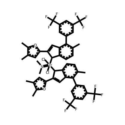 Cc1cc(C2=Cc3c(ccc(C)c3-c3cc(C(F)(F)F)cc(C(F)(F)F)c3)[CH]2[Zr]([Cl])([Cl])([CH]2C(c3cc(C)c(C)o3)=Cc3c2ccc(C)c3-c2cc(C(F)(F)F)cc(C(F)(F)F)c2)=[Si](C)C)oc1C